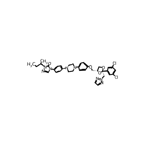 CCC(C)n1ncn(-c2ccc(N3CCN(c4ccc(OC[C@@H]5CO[C@@](Cn6nccn6)(c6cc(Cl)cc(Cl)c6)O5)cc4)CC3)cc2)c1=O